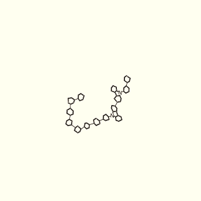 c1ccc(-c2cccc(-c3ccc(-c4cccc(-c5cccc(-c6ccc(-c7ccc(-c8ccc(-n9c%10ccccc%10c%10cc(-c%11ccc%12c(c%11)c%11ccccc%11n%12-c%11cccc(-c%12ccccc%12)c%11)ccc%109)cc8)cc7)cc6)c5)c4)cc3)c2)cc1